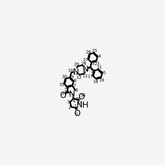 O=C1CCC(N2Cc3cc(CN4CCN(C(c5ccccc5)c5ccccc5)CC4)ccc3C2=O)C(=O)N1